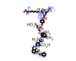 Cc1c(-c2ccc(N3CCc4cccc(C(=O)Nc5nc6ccccc6s5)c4C3)nc2C(=O)O)cnn1CC12CC3(C)CC(C)(C1)CC(OCCN(CCS(=O)(=O)O)C(=O)OCc1ccc(NC(=O)[C@H](CCCNC(N)=O)NC(=O)[C@@H](NC(=O)CCCCCNC(=O)CI)C(C)C)cc1)(C3)C2